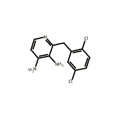 Nc1ccnc(Cc2cc(Cl)ccc2Cl)c1N